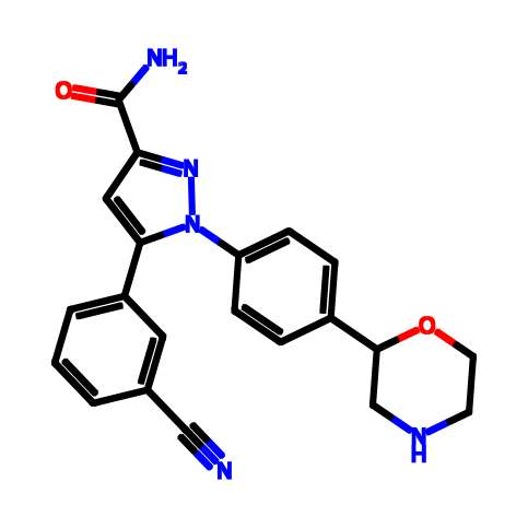 N#Cc1cccc(-c2cc(C(N)=O)nn2-c2ccc(C3CNCCO3)cc2)c1